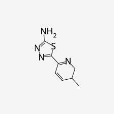 CC1C=CC(c2nnc(N)s2)=NC1